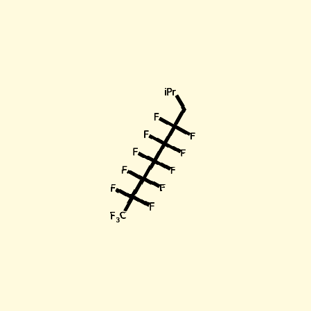 CC(C)CC(F)(F)C(F)(F)C(F)(F)C(F)(F)C(F)(F)C(F)(F)F